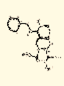 COC(=O)C1Cc2c(ccc(Cl)c2OCc2ccccc2)CN1C(=O)OC(C)(C)C